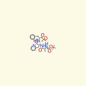 C[C@H](NC(=O)OC(C)(C)C)C(=O)N[C@@](C=O)(CN[C@@H](Cc1ccccc1)C(=O)[C@@]1(C)CO1)Cc1ccccn1